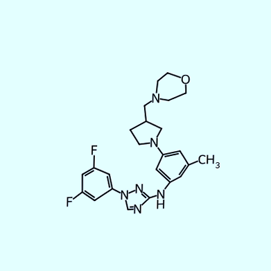 Cc1cc(Nc2ncn(-c3cc(F)cc(F)c3)n2)cc(N2CCC(CN3CCOCC3)C2)c1